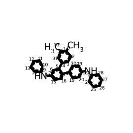 Cc1ccc(-c2cc(Nc3ccccc3)ccc2-c2ccc(Nc3ccccc3)cc2)cc1C